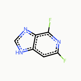 Fc1cc2[nH]cnc2c(F)n1